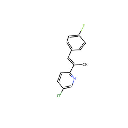 N#C/C(=C\c1ccc(F)cc1)c1ccc(Cl)cn1